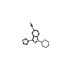 N#Cc1ccc2c(c1)c(-c1ccsc1)nn2C1CCCCO1